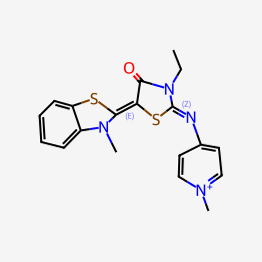 CCN1C(=O)/C(=C2\Sc3ccccc3N2C)S/C1=N\c1cc[n+](C)cc1